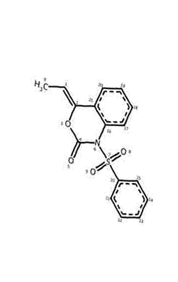 CC=C1OC(=O)N(S(=O)(=O)c2ccccc2)c2ccccc21